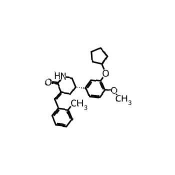 COc1ccc([C@H]2CNC(=O)/C(=C/c3ccccc3C)C2)cc1OC1CCCC1